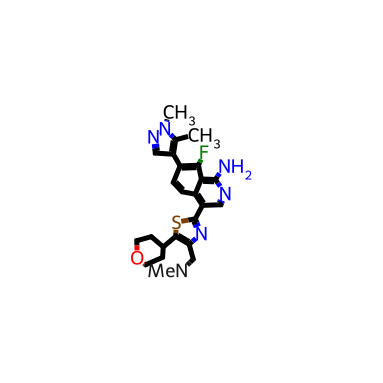 CNCc1nc(-c2cnc(N)c3c(F)c(-c4cnn(C)c4C)ccc23)sc1C1CCOCC1